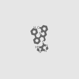 Cc1cccc2cc(CSc3ncnc4nc[nH]c34)c(-c3ccccc3-c3ccccc3)nc12